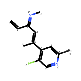 C=CC(/C=C(\C)c1cc(CC)ncc1F)=N/C